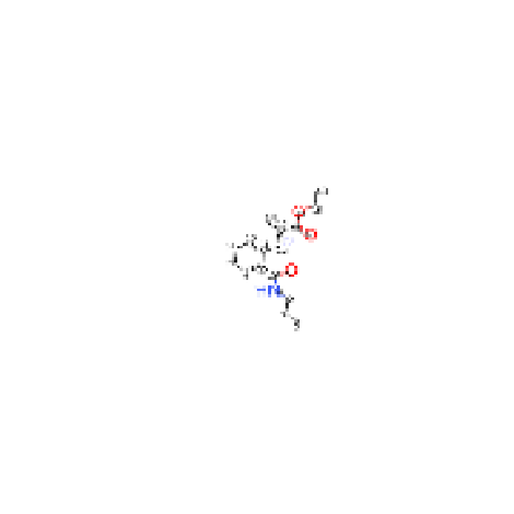 CCCNC(=O)c1ccccc1/C=C(\C)C(=O)OCC